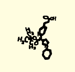 CC(C)(C)OC(=O)N(c1ccc(C=CC(=O)O)cn1)[C@@H]1CCN(C2CCCCCC2)C1